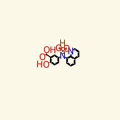 O=C(O)c1cc(N(c2cccc3cccnc23)[SH](=O)=O)ccc1O